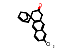 Cc1ccc2cc3c(cc2c1)CC(=O)CC31CC2=CCC1C2